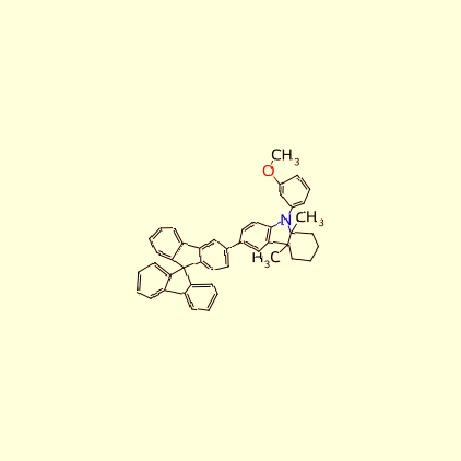 COc1cccc(N2c3ccc(-c4ccc5c(c4)-c4ccccc4C54c5ccccc5-c5ccccc54)cc3C3(C)CCCCC23C)c1